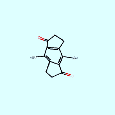 CCCCc1c2c(c(CCCC)c3c1C(=O)CC3)C(=O)CC2